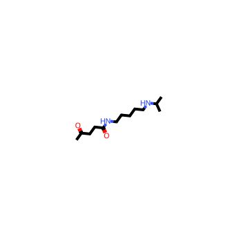 CC(=O)CCC(=O)NCCCCCNC(C)C